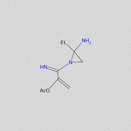 C=C(OC(C)=O)C(=N)N1CC1(N)CC